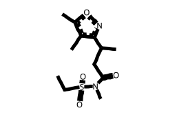 CCS(=O)(=O)N(C)C(=O)CC(C)c1noc(C)c1C